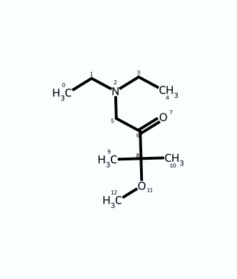 CCN(CC)CC(=O)C(C)(C)OC